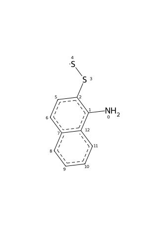 Nc1c(S[S])ccc2ccccc12